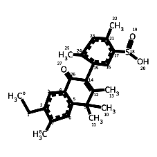 CCc1cc2c(cc1C)C(C)(C)C(C)=C(c1cc(S(=O)O)c(C)cc1C)C2=O